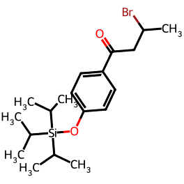 CC(Br)CC(=O)c1ccc(O[Si](C(C)C)(C(C)C)C(C)C)cc1